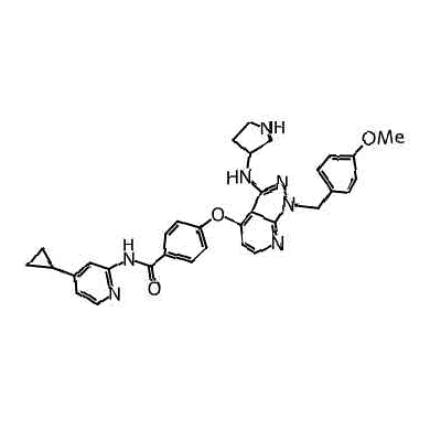 COc1ccc(Cn2nc(NC3CCNC3)c3c(Oc4ccc(C(=O)Nc5cc(C6CC6)ccn5)cc4)ccnc32)cc1